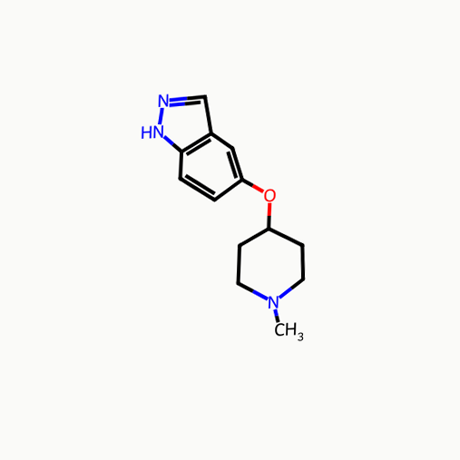 CN1CCC(Oc2ccc3[nH]ncc3c2)CC1